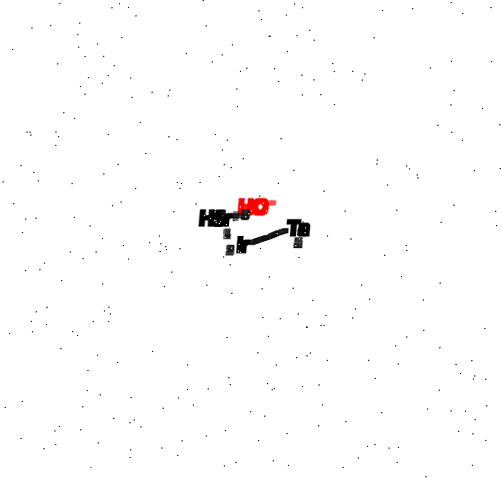 [OH-].[SrH+].[Ta][Ir]